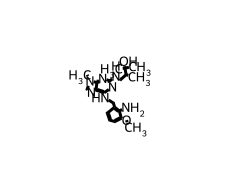 COc1cccc(CNc2nc(NCC(C)C(C)(C)O)nc3c2ncn3C)c1N